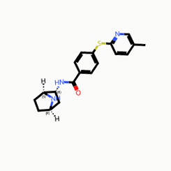 Cc1ccc(Sc2ccc(C(=O)N[C@@H]3C[C@H]4CC[C@@H]3N4)cc2)nc1